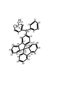 C/C=C\C(=C/C)B(c1ccccc1)c1ccc2c(c1)-c1ccccc1C21c2ccccc2-c2ccccc21